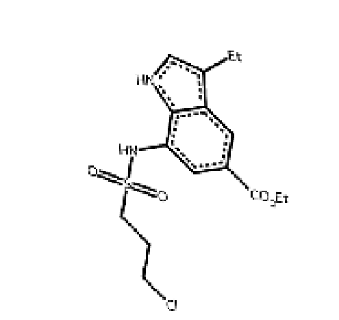 CCOC(=O)c1cc(NS(=O)(=O)CCCCl)c2[nH]cc(CC)c2c1